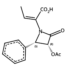 CC=C(C(=O)O)N1C(=O)[C@H](OC(C)=O)[C@@H]1c1ccccc1